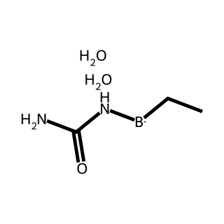 CC[B]NC(N)=O.O.O